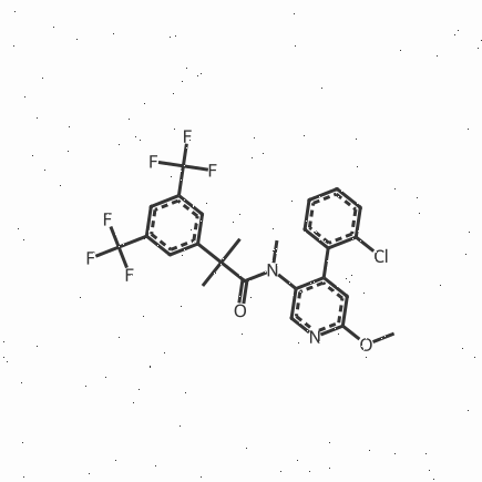 COc1cc(-c2ccccc2Cl)c(N(C)C(=O)C(C)(C)c2cc(C(F)(F)F)cc(C(F)(F)F)c2)cn1